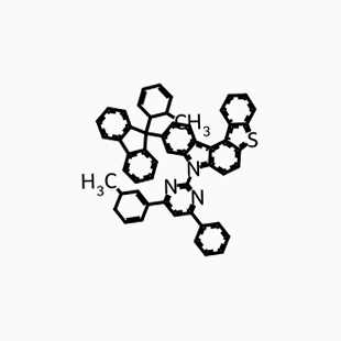 CC1C=C(c2cc(-c3ccccc3)nc(-n3c4cc(C5(C6C=CC=CC6C)c6ccccc6-c6ccccc65)ccc4c4c5c(ccc43)sc3ccccc35)n2)C=CC1